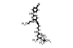 CCCNc1nc(Nc2ccc(C#N)cc2)ncc1C#CCCCNC(=O)CN(C)C(=O)OC(C)(C)C